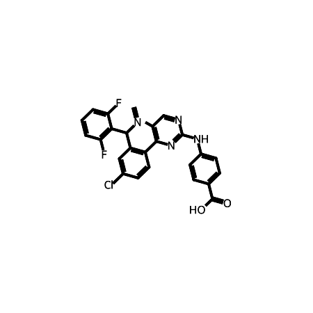 C=NC(c1cc(Cl)ccc1-c1nc(Nc2ccc(C(=O)O)cc2)ncc1C)c1c(F)cccc1F